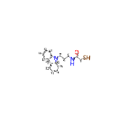 O=C(CS)NCCCn1c2c(c3ccccc31)C=C=C=C2